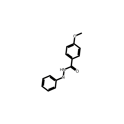 COc1ccc(C(=O)N[N]c2ccccc2)cc1